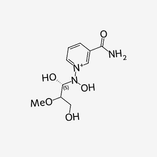 COC(CO)[C@H](O)N(O)[n+]1cccc(C(N)=O)c1